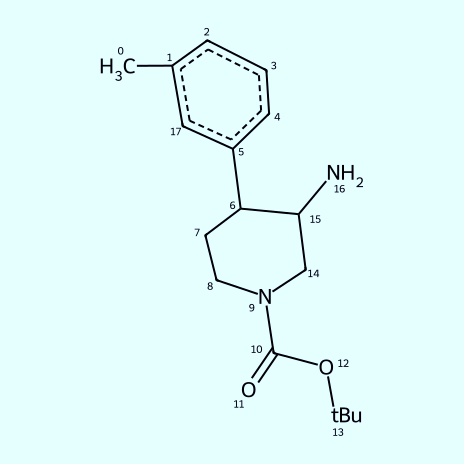 Cc1cccc(C2CCN(C(=O)OC(C)(C)C)CC2N)c1